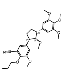 CCCOc1c(C#N)cc([C@H]2CC[C@H](c3cc(OC)c(OC)c(OC)c3)[C@H]2OC)cc1OC